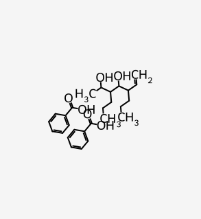 C=CC(CCC)C(O)C(CCC)C(C)O.O=C(O)c1ccccc1.O=C(O)c1ccccc1